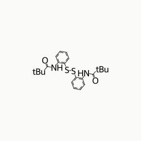 CC(C)(C)C(=O)Nc1ccccc1SSc1ccccc1NC(=O)C(C)(C)C